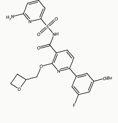 CC(C)COc1cc(F)cc(-c2ccc(C(=O)NS(=O)(=O)c3cccc(N)n3)c(OCC3CCO3)n2)c1